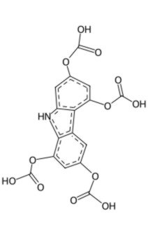 O=C(O)Oc1cc(OC(=O)O)c2c(c1)[nH]c1c(OC(=O)O)cc(OC(=O)O)cc12